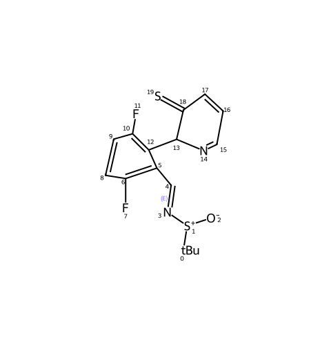 CC(C)(C)[S+]([O-])/N=C/c1c(F)ccc(F)c1C1N=CC=CC1=S